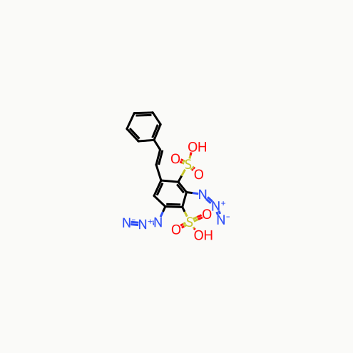 [N-]=[N+]=Nc1cc(C=Cc2ccccc2)c(S(=O)(=O)O)c(N=[N+]=[N-])c1S(=O)(=O)O